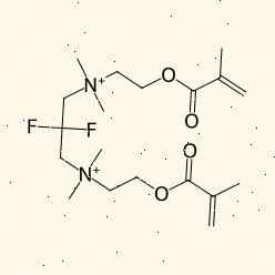 C=C(C)C(=O)OCC[N+](C)(C)CC(F)(F)C[N+](C)(C)CCOC(=O)C(=C)C